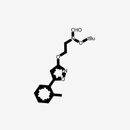 Cc1ccccc1-c1cc(OCCN(C=O)OC(C)(C)C)no1